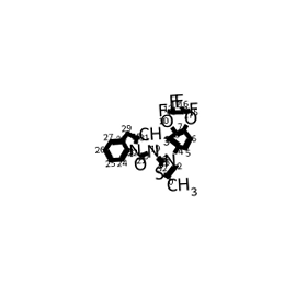 Cc1cn(-c2ccc3c(c2)OC(F)(F)C(F)(F)O3)/c(=N/C(=O)N2c3ccccc3CC2C)s1